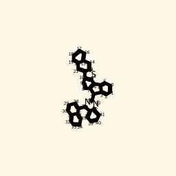 c1ccc2c(c1)-c1c(ccc3c1sc1cc4ccccc4cc13)C2c1nc(-c2cccc3ccccc23)c2ccccc2n1